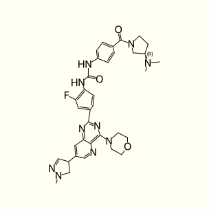 CN1CC(c2cnc3c(N4CCOCC4)nc(-c4ccc(NC(=O)Nc5ccc(C(=O)N6CC[C@@H](N(C)C)C6)cc5)c(F)c4)nc3c2)C=N1